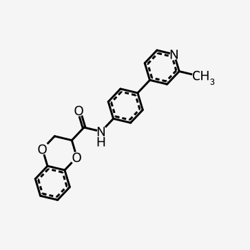 Cc1cc(-c2ccc(NC(=O)C3COc4ccccc4O3)cc2)ccn1